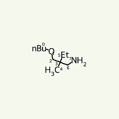 CCCCOCC(C)(CC)CN